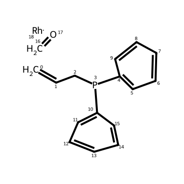 C=CCP(c1ccccc1)c1ccccc1.C=O.[Rh]